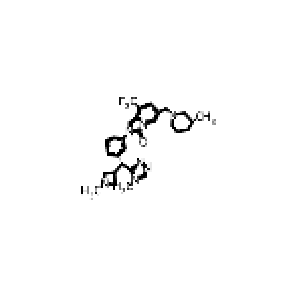 C[C@H]1CCCN(Cc2cc(C(F)(F)F)c3cn(-c4cccc([C@H](c5nncn5C)C5CN(C)C5)c4)c(=O)n3c2)C1